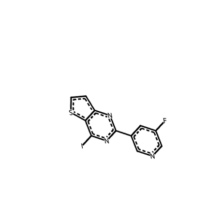 Fc1cncc(-c2nc(I)c3sccc3n2)c1